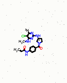 [2H]c1nc(N[C@H]2CCN(C(=O)c3ccc(NC(=O)C=C)cc3)C2)nc(NC)c1Cl